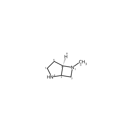 CN1CC2NCC[C@H]21